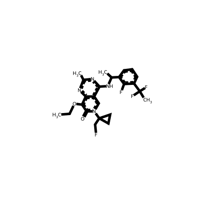 CCOc1c(=O)n(C2(CF)CC2)cc2c(NC(C)c3cccc(C(C)(F)F)c3F)nc(C)nc12